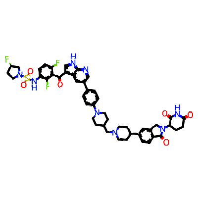 O=C1CCC(N2Cc3cc(C4CCN(CC5CCN(c6ccc(-c7cnc8[nH]cc(C(=O)c9c(F)ccc(NS(=O)(=O)N%10CC[C@@H](F)C%10)c9F)c8c7)cc6)CC5)CC4)ccc3C2=O)C(=O)N1